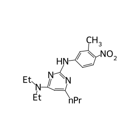 CCCc1cc(N(CC)CC)nc(Nc2ccc([N+](=O)[O-])c(C)c2)n1